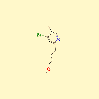 COCCCCc1cc(Br)c(C)cn1